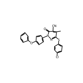 Cc1c(Sc2ccc(Cl)cc2)nn(-c2ccc(Oc3ccccc3)cc2)c(=O)c1C#N